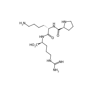 N=C(N)NCCC[C@H](NC(=O)[C@H](CCCCN)NC(=O)[C@@H]1CCCN1)C(=O)O